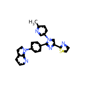 Cc1ccc(-n2cc(-c3nccs3)nc2-c2ccc(-n3ccc4cccnc43)cc2)cn1